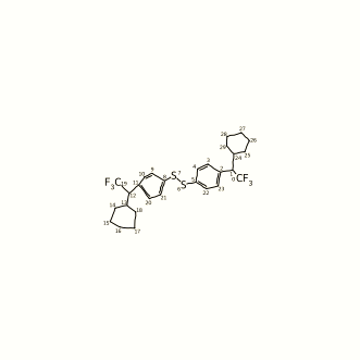 FC(F)(F)C(c1ccc(SSc2ccc(C(C3CCCCC3)C(F)(F)F)cc2)cc1)C1CCCCC1